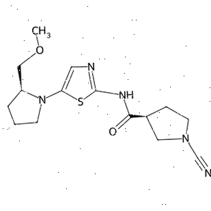 COC[C@@H]1CCCN1c1cnc(NC(=O)[C@H]2CCN(C#N)C2)s1